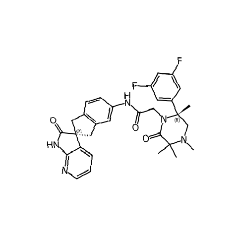 CN1C[C@@](C)(c2cc(F)cc(F)c2)N(CC(=O)Nc2ccc3c(c2)C[C@@]2(C3)C(=O)Nc3ncccc32)C(=O)C1(C)C